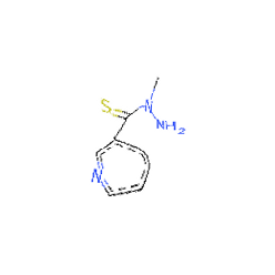 CN(N)C(=S)c1cccnc1